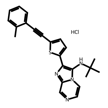 Cc1ccccc1C#Cc1ccc(-c2nc3cnccn3c2NC(C)(C)C)s1.Cl